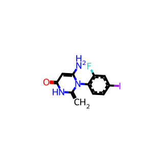 C=C1NC(=O)C=C(N)N1c1ccc(I)cc1F